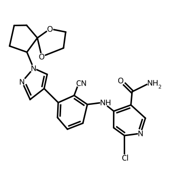 N#Cc1c(Nc2cc(Cl)ncc2C(N)=O)cccc1-c1cnn(C2CCCC23OCCO3)c1